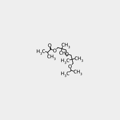 CC(C)OCC(C)(C)COCC(C)(C)COC(=O)C(C)C